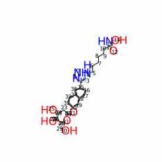 N=N/C(=C\NCCCCCCC(=O)NO)c1ccc2cc(O[C@@H]3C[C@@H](O)[C@H](O)[C@@H](CO)O3)ccc2c1